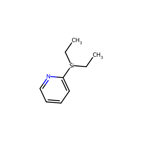 CC[Si](CC)c1ccccn1